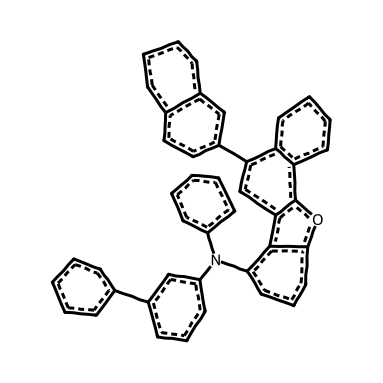 c1ccc(-c2cccc(N(c3ccccc3)c3cccc4oc5c6ccccc6c(-c6ccc7ccccc7c6)cc5c34)c2)cc1